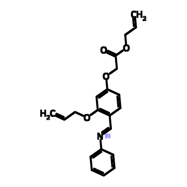 C=CCOC(=O)COc1ccc(/C=N/c2ccccc2)c(OCC=C)c1